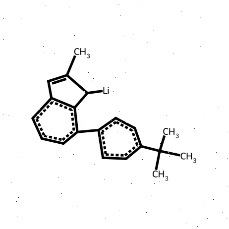 [Li][CH]1C(C)=Cc2cccc(-c3ccc(C(C)(C)C)cc3)c21